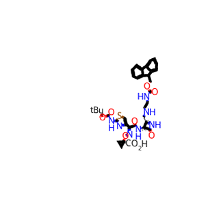 CC(C)(C)OC(=O)Nc1nc(C(=NOC2(C(=O)O)CC2)C(=O)N[C@@H]2C(=O)N[C@H]2CNCCNC(=O)OCC2c3ccccc3-c3ccccc32)cs1